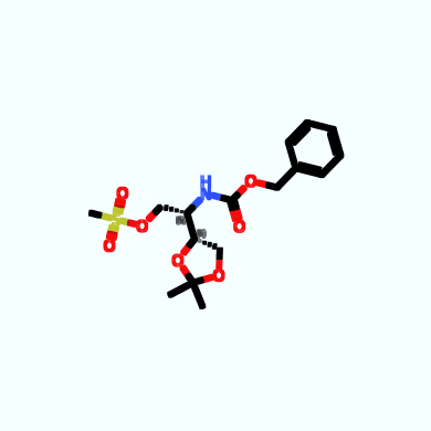 CC1(C)OC[C@@H]([C@H](COS(C)(=O)=O)NC(=O)OCc2ccccc2)O1